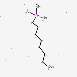 CCCCCCCCCCCCCCCCC[PH](CCC)(CCCC)CCCC